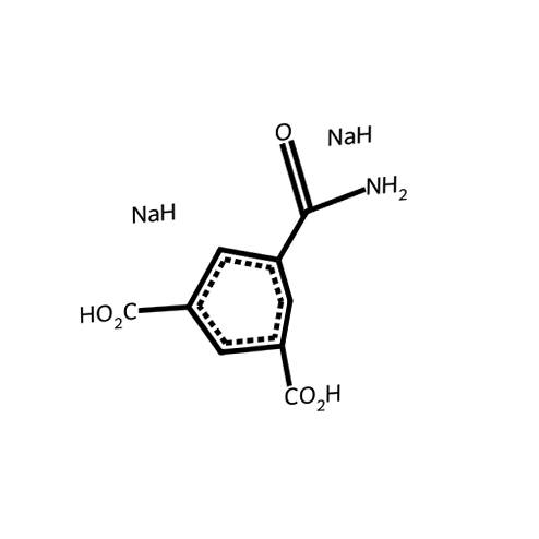 NC(=O)c1cc(C(=O)O)cc(C(=O)O)c1.[NaH].[NaH]